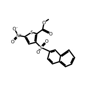 COC(=O)c1sc([N+](=O)[O-])cc1S(=O)(=O)c1ccc2ccccc2c1